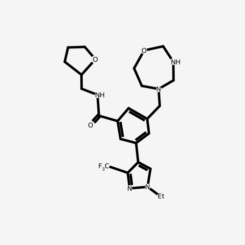 CCn1cc(-c2cc(CN3CCOCNC3)cc(C(=O)NCC3CCCO3)c2)c(C(F)(F)F)n1